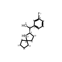 OC(c1cccc(F)c1)[C@H]1CCC2(CCCC2)N1